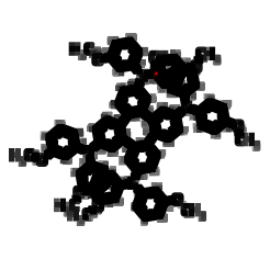 COc1ccc(N(c2cccc(OC)c2)c2ccc3c(c2)-c2cc(N(c4ccc(OC)cc4)c4cccc(OC)c4)ccc2-c2ccc(N(c4ccc(OC)cc4)c4cccc(OC)c4)cc2-c2cc(N(c4ccc(OC)cc4)c4cccc(OC)c4)ccc2-3)cc1